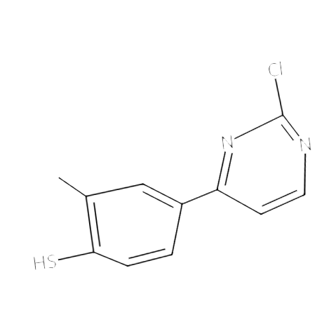 Cc1cc(-c2ccnc(Cl)n2)ccc1S